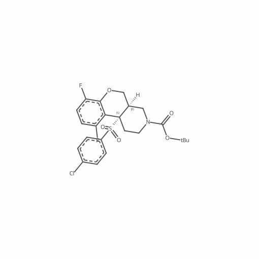 CC(C)(C)OC(=O)N1CC[C@@]2(S(=O)(=O)c3ccc(Cl)cc3)c3c(F)ccc(F)c3OC[C@H]2C1